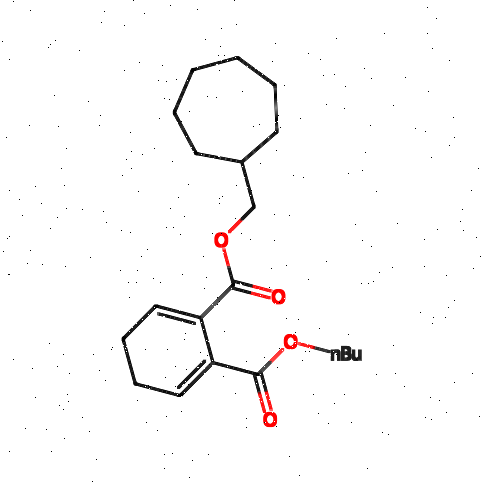 CCCCOC(=O)C1=CCCC=C1C(=O)OCC1CCCCCC1